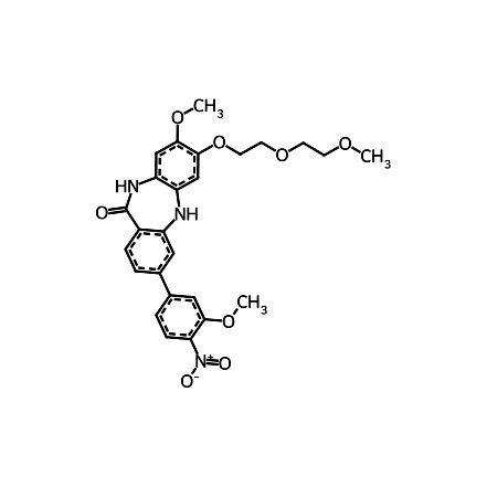 COCCOCCOc1cc2c(cc1OC)NC(=O)c1ccc(-c3ccc([N+](=O)[O-])c(OC)c3)cc1N2